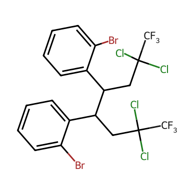 FC(F)(F)C(Cl)(Cl)CC(c1ccccc1Br)C(CC(Cl)(Cl)C(F)(F)F)c1ccccc1Br